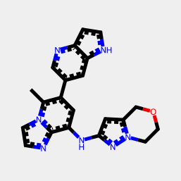 Cc1c(-c2cnc3cc[nH]c3c2)cc(Nc2cc3n(n2)CCOC3)c2nccn12